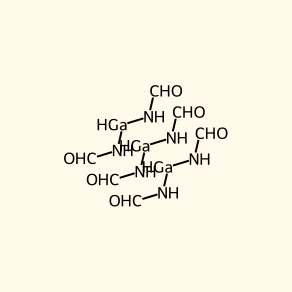 O=C[NH][GaH][NH]C=O.O=C[NH][GaH][NH]C=O.O=C[NH][GaH][NH]C=O